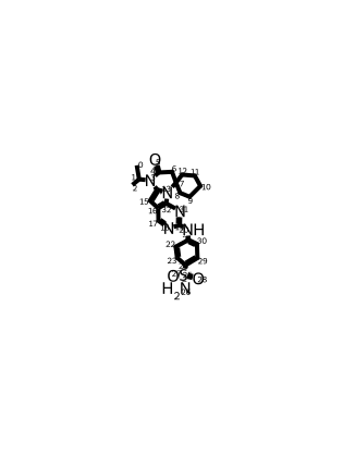 CC(C)N1C(=O)CC2(CCCCC2)n2c1cc1cnc(Nc3ccc(S(N)(=O)=O)cc3)nc12